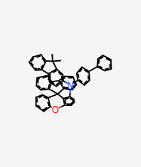 CC1(C)c2ccccc2-c2ccc(N(c3ccc(-c4ccccc4)cc3)c3cccc4c3C3(c5ccccc5O4)c4ccccc4-c4ccccc43)cc21